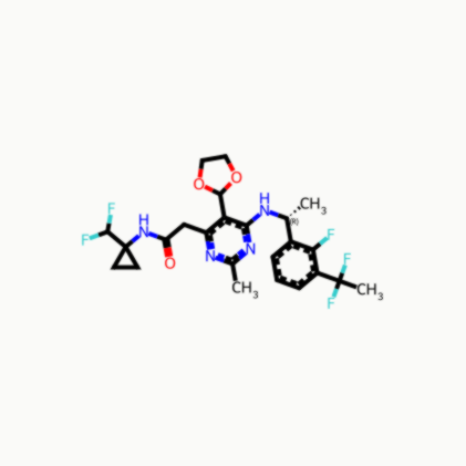 Cc1nc(CC(=O)NC2(C(F)F)CC2)c(C2OCCO2)c(N[C@H](C)c2cccc(C(C)(F)F)c2F)n1